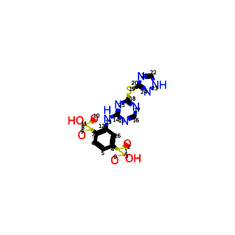 O=S(=O)(O)c1ccc(S(=O)(=O)O)c(Nc2ncnc(Sc3nc[nH]n3)n2)c1